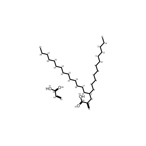 C=C(CC(CCCCCCCCCCCC)CCCCCCCCCCCCCC)C(=O)O.C=CC(=O)O